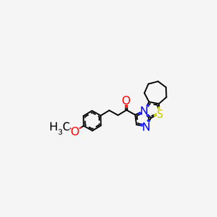 COc1ccc(CCC(=O)c2cnc3sc4c(n23)CCCCC4)cc1